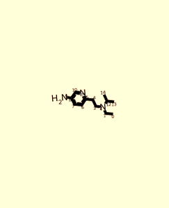 CCN(CCc1ccc(N)cn1)C(C)C